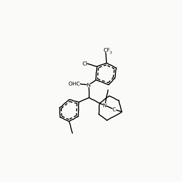 Cc1cccc(C(N(C=O)c2cccc(C(F)(F)F)c2Cl)C23CCC(CC2)CN3C)c1